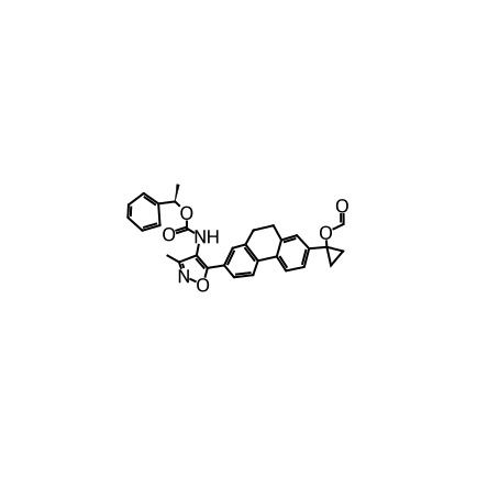 Cc1noc(-c2ccc3c(c2)CCc2cc(C4(OC=O)CC4)ccc2-3)c1NC(=O)O[C@H](C)c1ccccc1